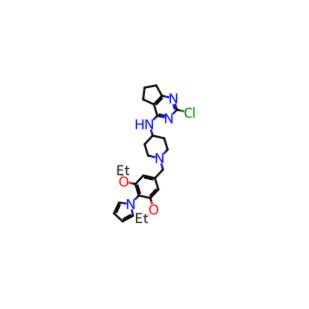 CCOc1cc(CN2CCC(Nc3nc(Cl)nc4c3CCC4)CC2)cc(OCC)c1-n1cccc1